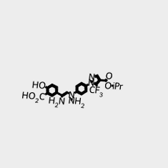 CC(C)OC(=O)c1cnn(-c2ccc(N(N)/C=C(\N)c3ccc(O)c(C(=O)O)c3)cc2)c1C(F)(F)F